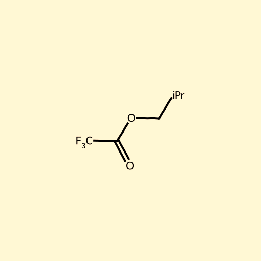 CC(C)COC(=O)C(F)(F)F